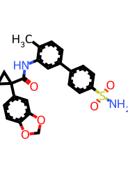 Cc1ccc(-c2ccc(S(N)(=O)=O)cc2)cc1NC(=O)C1(c2ccc3c(c2)OCO3)CC1